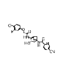 N#Cc1ccc(C(=O)NC23CC(=C(NC(=O)COc4ccc(Cl)c(F)c4)C(O)C2)C3)nc1